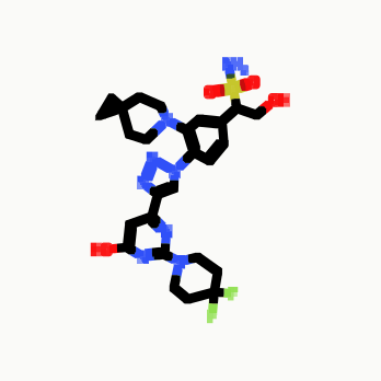 NS(=O)(=O)C(CO)c1ccc(-n2cc(-c3cc(O)nc(N4CCC(F)(F)CC4)n3)nn2)c(N2CCC3(CC2)CC3)c1